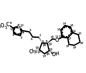 O=C(O)c1ccc(CCC[C@@H]2[C@@H](COc3cccc4c3CCCC4)[C@H](O)C[C@@H]2Cl)s1